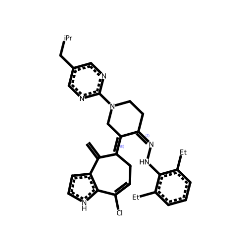 C=C1/C(=C2\CN(c3ncc(CC(C)C)cn3)CC\C2=N\Nc2c(CC)cccc2CC)CC=C(Cl)c2[nH]ccc21